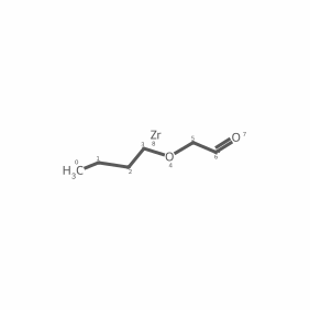 CCCCOC[C]=O.[Zr]